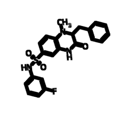 CN1c2ccc(S(=O)(=O)Nc3cccc(F)c3)cc2NC(=O)C1Cc1ccccc1